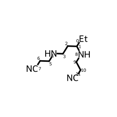 CCC(CCNCCC#N)NCCC#N